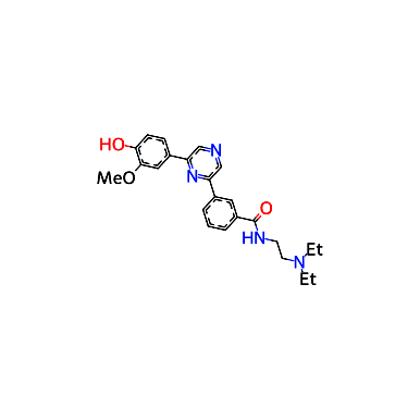 CCN(CC)CCNC(=O)c1cccc(-c2cncc(-c3ccc(O)c(OC)c3)n2)c1